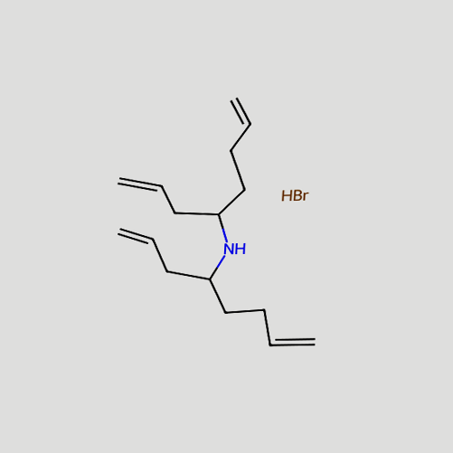 Br.C=CCCC(CC=C)NC(CC=C)CCC=C